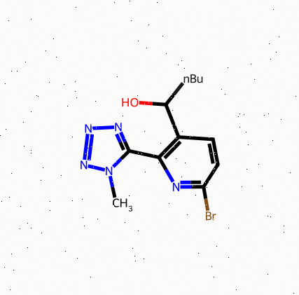 CCCCC(O)c1ccc(Br)nc1-c1nnnn1C